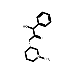 CN1CCC[C@H](CC(=O)C(O)c2ccccc2)C1